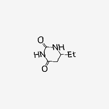 CCC1CC(=O)NC(=O)N1